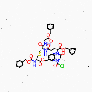 C[C@H](NC(=O)Cl)C(=O)N[C@H](CCC(=O)N[C@H](CSC[C@H](NC(=O)OCc1ccccc1)C(=O)OCc1ccccc1)C(=O)NCC(=O)OCc1ccccc1)C(=O)OCc1ccccc1